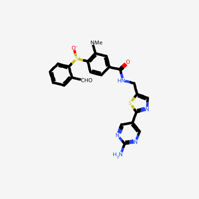 CNc1cc(C(=O)NCc2cnc(-c3cnc(N)nc3)s2)ccc1[S+]([O-])c1ccccc1C=O